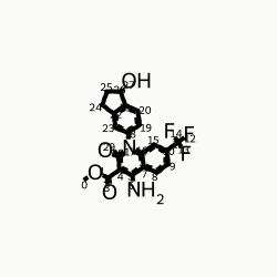 COC(=O)c1c(N)c2ccc(C(F)(F)F)cc2n(-c2ccc3c(c2)CCC3O)c1=O